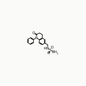 BS(=O)(=O)NCc1ccc2c(c1)CCC(=O)N2c1ccccc1